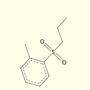 CCCS(=O)(=O)c1ccccc1C